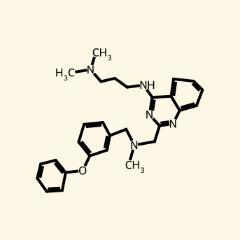 CN(C)CCCNc1nc(CN(C)Cc2cccc(Oc3ccccc3)c2)nc2ccccc12